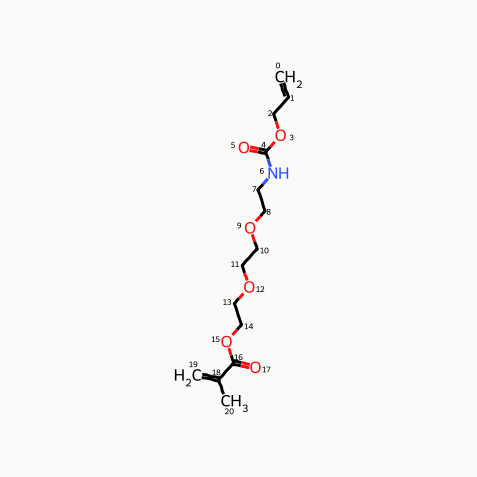 C=CCOC(=O)NCCOCCOCCOC(=O)C(=C)C